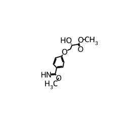 COC(=N)c1ccc(OC[C@H](O)C(=O)OC)cc1